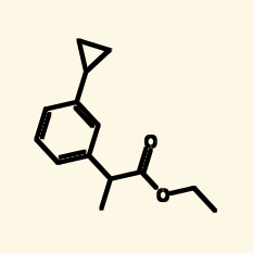 CCOC(=O)C(C)c1cccc(C2CC2)c1